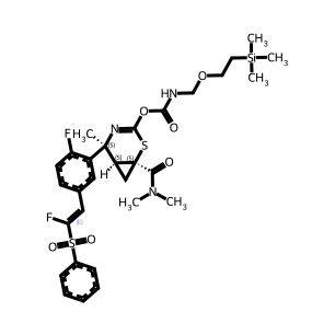 CN(C)C(=O)[C@]12C[C@H]1[C@@](C)(c1cc(/C=C(\F)S(=O)(=O)c3ccccc3)ccc1F)N=C(OC(=O)NCOCC[Si](C)(C)C)S2